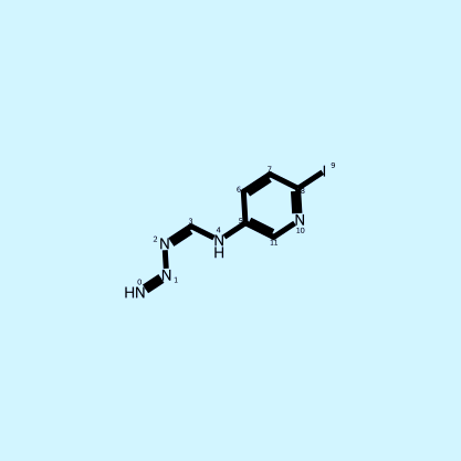 N=N/N=C\Nc1ccc(I)nc1